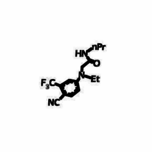 CCCNC(=O)CN(CC)c1ccc(C#N)c(C(F)(F)F)c1